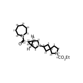 CCOC(=O)N1CCC2(CC(N3C[C@@H]4[C@H](C3)[C@H]4C(=O)N3CCCCCC3)C2)C1